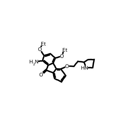 CCOc1cc(OCC)c2c(c1N)C(=O)c1cccc(OCCC3CCCN3)c1-2